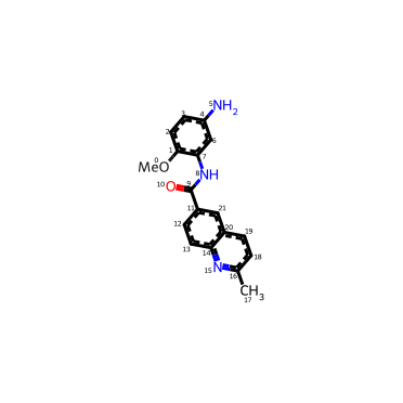 COc1ccc(N)cc1NC(=O)c1ccc2nc(C)ccc2c1